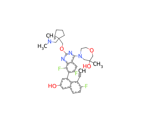 C#Cc1c(F)ccc2cc(O)cc(-c3c(F)cc4c(N5CCOCC(C)(O)C5)nc(OCC5(CN(C)C)CCCC5)nc4c3F)c12